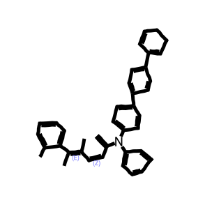 C=C(/C=C\C(C)=C(/C)c1ccccc1C)N(c1ccccc1)c1ccc(-c2ccc(C3=CCCC=C3)cc2)cc1